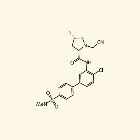 CNS(=O)(=O)c1ccc(-c2ccc(Cl)c(NC(=O)[C@@H]3C[C@H](C)CN3CC#N)c2)cc1